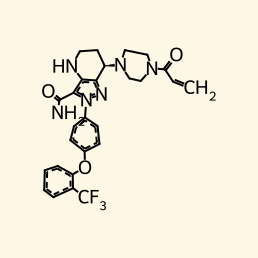 C=CC(=O)N1CCN([C@@H]2CCNc3c2nn(-c2ccc(Oc4ccccc4C(F)(F)F)cc2)c3C(N)=O)CC1